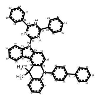 CC1(C)c2ccccc2N(c2ccc(-c3ccccc3)cc2)c2ccc3c(c21)c1ccccc1n3-c1nc(-c2ccccc2)nc(-c2ccccc2)n1